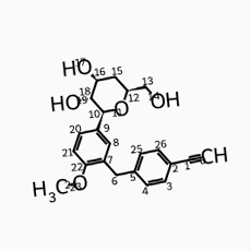 C#Cc1ccc(Cc2cc([C@@H]3O[C@H](CO)C[C@H](O)[C@H]3O)ccc2OC)cc1